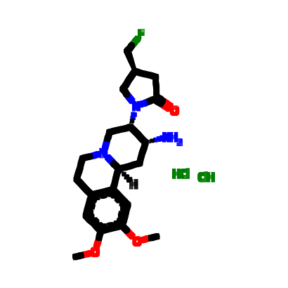 COc1cc2c(cc1OC)[C@@H]1C[C@@H](N)[C@@H](N3C[C@@H](CF)CC3=O)CN1CC2.Cl.Cl